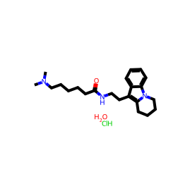 CN(C)CCCCCC(=O)NCCc1c2n(c3ccccc13)CCCC2.Cl.O